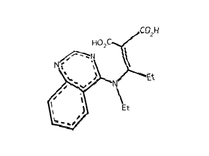 CCC(=C(C(=O)O)C(=O)O)N(CC)c1ncnc2ccccc12